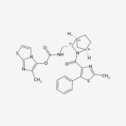 Cc1nc(C(=O)N2[C@@H]3CC[C@@H](C3)[C@H]2CNC(=O)Oc2c(C)nc3sccn23)c(-c2ccccc2)s1